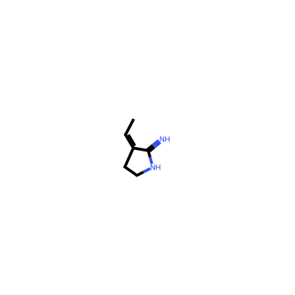 C/C=C1/CCNC1=N